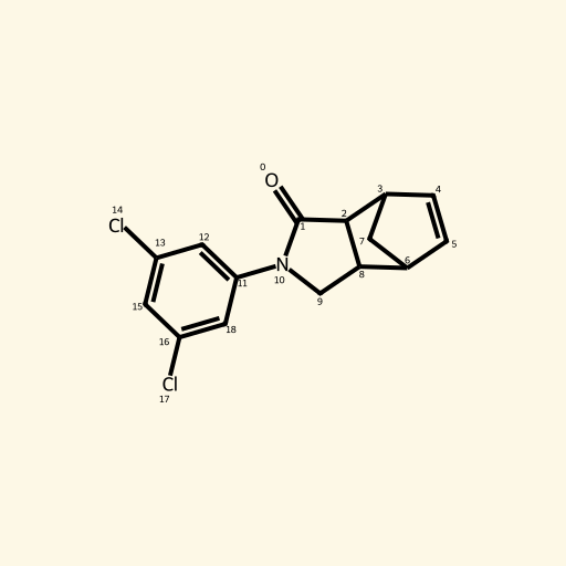 O=C1C2C3C=CC(C3)C2CN1c1cc(Cl)cc(Cl)c1